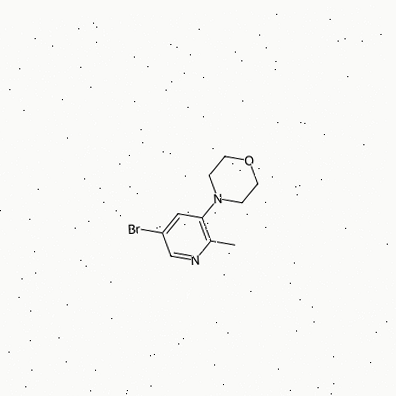 Cc1ncc(Br)cc1N1CCOCC1